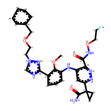 COc1c(Nc2cc(C3(C(N)=O)CC3)nnc2C(=O)NOCCF)cccc1-c1ncn(CCOCc2ccccc2)n1